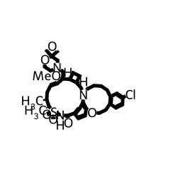 CO[C@@]1(CN2CCOC3(COC3)C2)/C=C/C[C@H](C)[C@@H](C)S(=O)(=O)NC(=O)c2ccc3c(c2)N(CCCCc2cc(Cl)ccc2CCO3)C[C@@H]2CC[C@H]21